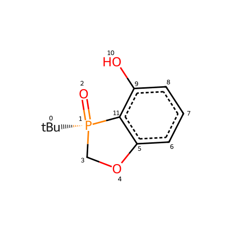 CC(C)(C)[P@@]1(=O)COc2cccc(O)c21